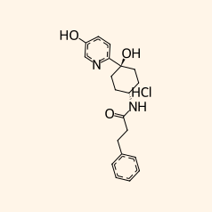 Cl.O=C(CCc1ccccc1)N[C@H]1CC[C@@](O)(c2ccc(O)cn2)CC1